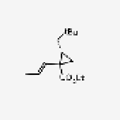 CC=C[C@@]1(C(=O)OCC)C[C@H]1CC(C)(C)C